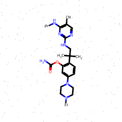 CCN1CCN(c2ccc(C(C)(C)CNc3ncc(C#N)c(NC(C)C)n3)c(OC(N)=O)c2)CC1